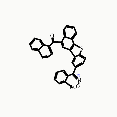 CC(=O)O/N=C(/c1ccc2sc3c4ccccc4c(C(=O)c4cccc5ccccc45)cc3c2c1)c1ccccc1C